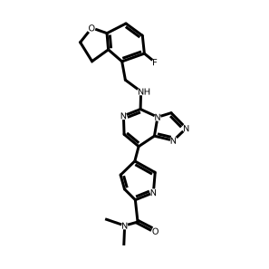 CN(C)C(=O)c1ccc(-c2cnc(NCc3c(F)ccc4c3CCO4)n3cnnc23)cn1